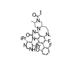 C=CC(=O)N1CC2CCN(C)c3c(F)c(-c4c(O)cccc4F)c(F)c4c3c(nc(=O)n4-c3c(C(C)C)ncnc3C(C)C)N2CC1C